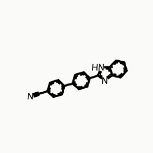 N#Cc1ccc(-c2ccc(-c3nc4ccccc4[nH]3)cc2)cc1